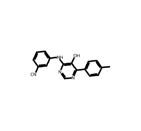 [C-]#[N+]c1cccc(Nc2ncnc(-c3ccc(C)cc3)c2O)c1